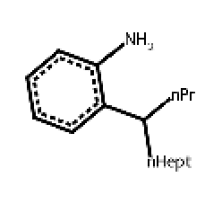 CCCCCCCC(CCC)c1ccccc1N